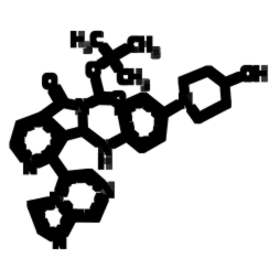 CC(C)(C)OC(=O)N1C(=O)c2ccnc(-c3cncc4nccn34)c2C1Nc1ccc(N2CCC(O)CC2)cn1